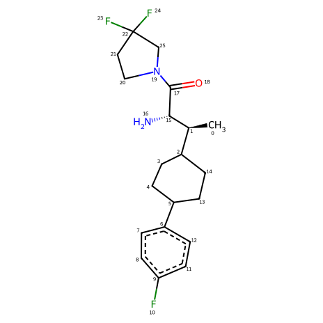 C[C@@H](C1CCC(c2ccc(F)cc2)CC1)[C@H](N)C(=O)N1CCC(F)(F)C1